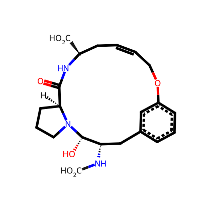 O=C(O)N[C@H]1Cc2cccc(c2)OC/C=C\C[C@H](C(=O)O)NC(=O)[C@@H]2CCCN2[C@H]1O